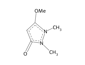 COc1cc(=O)n(C)n1C